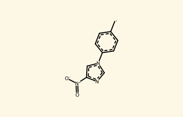 [CH]c1ccc(-n2cnc([N+](=O)[O-])c2)cc1